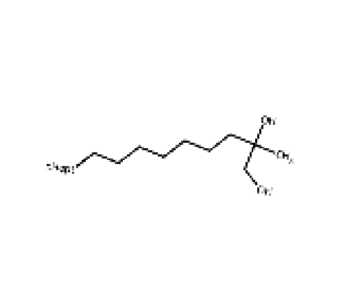 CCCCCCCCCCCCCCC(C)(O)CO